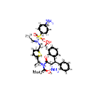 COC(=O)N(C(=O)[C@@H](N)C(c1ccccc1)c1ccccc1)[C@@H](C)c1ccc([C@@H](CO)N(CC(C)C)S(=O)(=O)c2ccc(N)cc2)s1